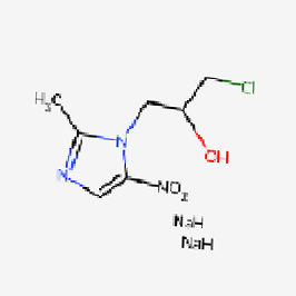 Cc1ncc([N+](=O)[O-])n1CC(O)CCl.[NaH].[NaH]